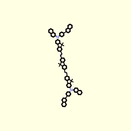 CC1(C)c2cc(/C=C/c3ccc4c(c3)C(C)(C)c3cc(N(c5ccc(-c6ccc7ccccc7c6)cc5)c5ccc6ccccc6c5)ccc3-4)ccc2-c2ccc(/C=C/c3ccc4c(c3)C(C)(C)c3cc(N(c5ccc(-c6ccc7ccccc7c6)cc5)c5ccc6ccccc6c5)ccc3-4)cc21